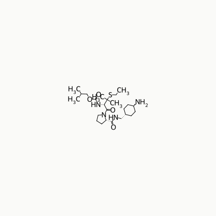 CCSC(C)(C)[C@@H](NC(=O)OCC(C)C)C(=O)N1CCC[C@H]1C(=O)NC[C@H]1CC[C@H](N)CC1